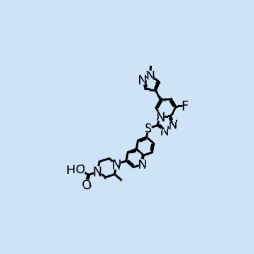 CC1CN(C(=O)O)CCN1c1cnc2ccc(Sc3nnc4c(F)cc(-c5cnn(C)c5)cn34)cc2c1